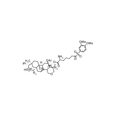 COc1ccc(S(=O)(=O)NCCCCC(N)C(=O)O[C@H]2[C@H](OC(C)=O)C[C@@]34COC[C@]2(C)[C@@H]3CC[C@H]2C4=CC[C@@]3(C)[C@H](C(=O)O)[C@@](C)([C@H](C)C(C)C)CC[C@]23C)cc1OC